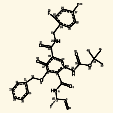 C=C[C@H](C)NC(=O)c1c(OCc2ccccc2)c(=O)c(C(=O)NCc2ccc(F)cc2F)cn1NC(=O)OC(C)(C)C